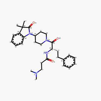 CN(C)CCC(=O)N[C@@H](CCc1ccccc1)C(=O)N1CCC(N2C(=O)C(C)(C)c3ccccc32)CC1